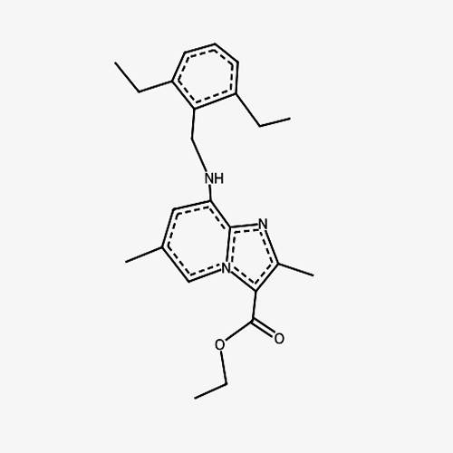 CCOC(=O)c1c(C)nc2c(NCc3c(CC)cccc3CC)cc(C)cn12